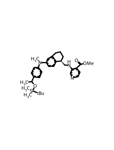 COC(=O)c1ccncc1NC[C@@H]1CCCc2cc(N(C)c3ccc(C(C)O[Si](C)(C)C(C)(C)C)cc3)ccc21